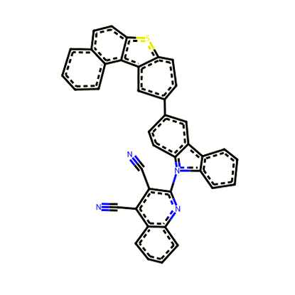 N#Cc1c(-n2c3ccccc3c3cc(-c4ccc5sc6ccc7ccccc7c6c5c4)ccc32)nc2ccccc2c1C#N